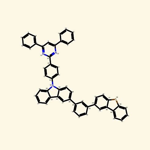 c1ccc(-c2cc(-c3ccccc3)nc(-c3ccc(-n4c5ccccc5c5cc(-c6cccc(-c7ccc8sc9ccccc9c8c7)c6)ccc54)cc3)n2)cc1